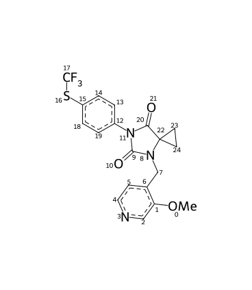 COc1cnccc1CN1C(=O)N(c2ccc(SC(F)(F)F)cc2)C(=O)C12CC2